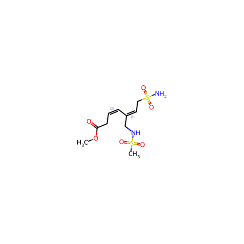 COC(=O)C/C=C\C(=C/CS(N)(=O)=O)CNS(C)(=O)=O